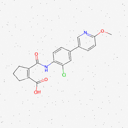 COc1ccc(-c2ccc(NC(=O)C3=C(C(=O)O)CCC3)c(Cl)c2)cn1